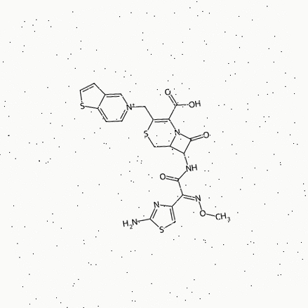 CON=C(C(=O)NC1C(=O)N2C(C(=O)O)=C(C[n+]3ccc4sccc4c3)SCC12)c1csc(N)n1